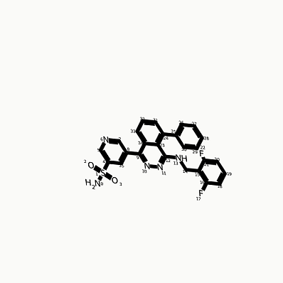 NS(=O)(=O)c1cncc(-c2nnc(NCc3c(F)cccc3F)c3c(-c4ccccc4)cccc23)c1